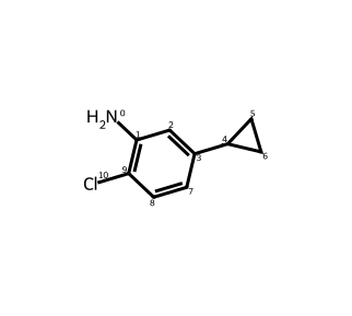 Nc1cc([C]2CC2)ccc1Cl